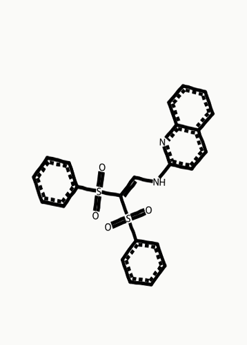 O=S(=O)(C(=CNc1ccc2ccccc2n1)S(=O)(=O)c1ccccc1)c1ccccc1